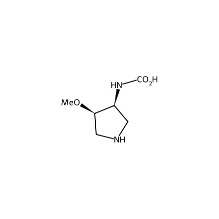 CO[C@@H]1CNC[C@@H]1NC(=O)O